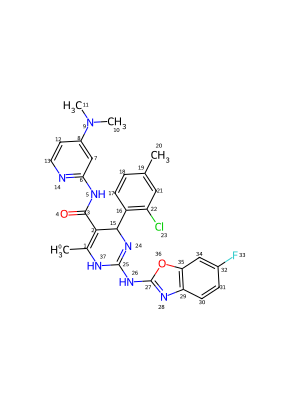 CC1=C(C(=O)Nc2cc(N(C)C)ccn2)C(c2ccc(C)cc2Cl)N=C(Nc2nc3ccc(F)cc3o2)N1